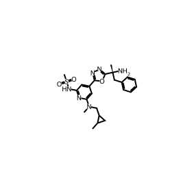 CC1CC1CN(C)c1cc(-c2nnc([C@](C)(N)Cc3ccccc3)o2)cc(NS(C)(=O)=O)n1